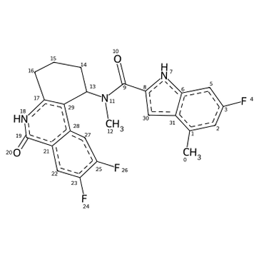 Cc1cc(F)cc2[nH]c(C(=O)N(C)C3CCCc4[nH]c(=O)c5cc(F)c(F)cc5c43)cc12